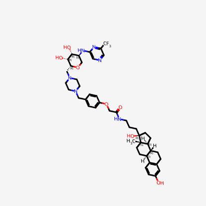 C[C@]12CC[C@@H]3c4ccc(O)cc4CC[C@H]3[C@@H]1CC[C@@]2(O)CCCNC(=O)COc1ccc(CN2CCN(C[C@H]3OC[C@H](Nc4cncc(C(F)(F)F)n4)[C@@H](O)[C@H]3O)CC2)cc1